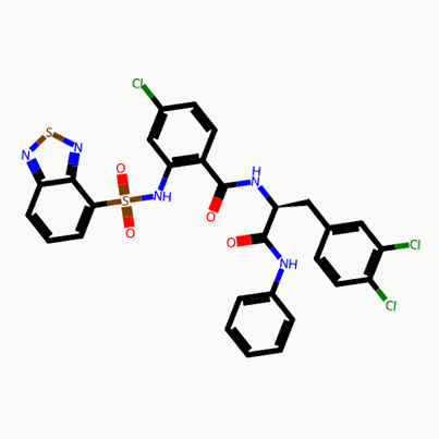 O=C(N[C@@H](Cc1ccc(Cl)c(Cl)c1)C(=O)Nc1ccccc1)c1ccc(Cl)cc1NS(=O)(=O)c1cccc2nsnc12